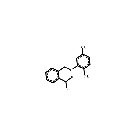 Cc1ccc(C)c(OCc2ccccc2C(Br)Br)c1